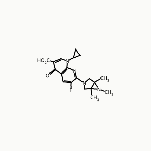 CN1C2(C)CN(c3nc4c(cc3F)c(=O)c(C(=O)O)cn4C3CC3)CC12C